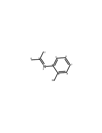 CC(C)=Nc1ccccc1C